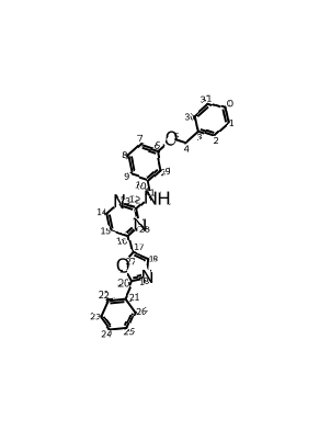 c1ccc(COc2cccc(Nc3nccc(-c4cnc(-c5ccccc5)o4)n3)c2)cc1